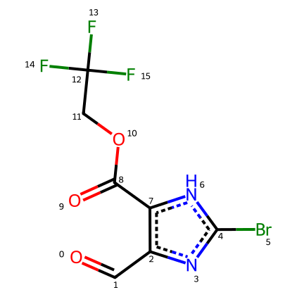 O=Cc1nc(Br)[nH]c1C(=O)OCC(F)(F)F